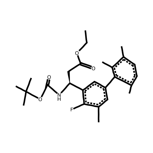 CCOC(=O)C[C@H](NC(=O)OC(C)(C)C)c1cc(-c2c(C)ccc(C)c2C)cc(C)c1F